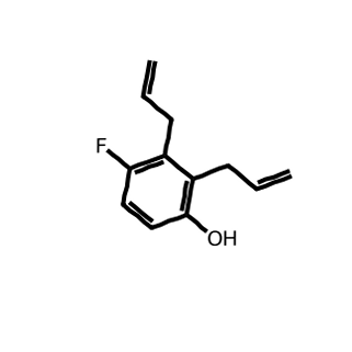 C=CCc1c(O)ccc(F)c1CC=C